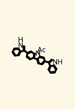 CC(=O)n1c2cc(-c3c[nH]c4ccccc34)ccc2c2ccc(-c3c[nH]c4ccccc34)cc21